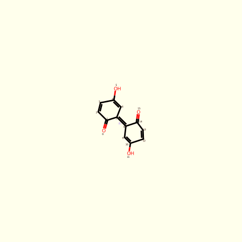 O=C1C=CC(O)=C/C1=C1/C=C(O)C=CC1=O